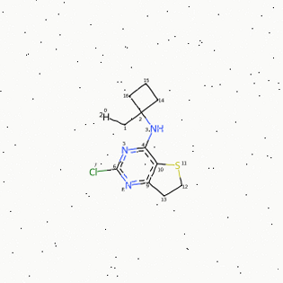 [2H]CC1(Nc2nc(Cl)nc3c2SCC3)CCC1